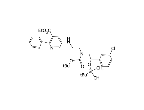 CCOC(=O)c1cc(NCCN(CC(O[Si](C)(C)C(C)(C)C)c2cccc(Cl)c2)C(=O)OC(C)(C)C)cnc1-c1ccccc1